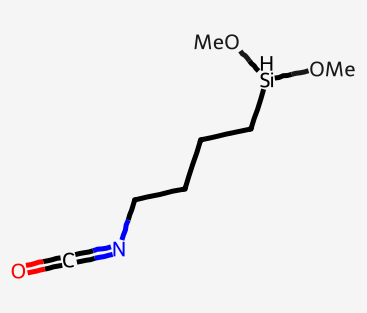 CO[SiH](CCCCN=C=O)OC